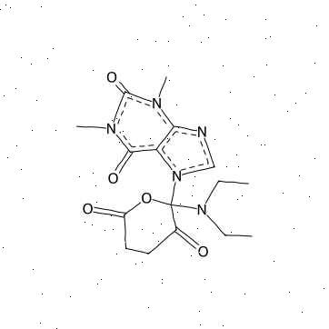 CCN(CC)C1(n2cnc3c2c(=O)n(C)c(=O)n3C)OC(=O)CCC1=O